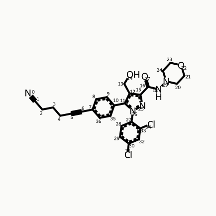 N#CCCCC#Cc1ccc(-c2c(CO)c(C(=O)NN3CCOCC3)nn2-c2ccc(Cl)cc2Cl)cc1